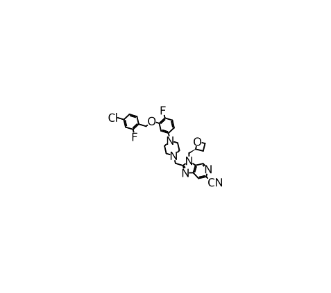 N#Cc1cc2nc(CN3CCN(c4ccc(F)c(OCc5ccc(Cl)cc5F)c4)CC3)n(C[C@@H]3CCO3)c2cn1